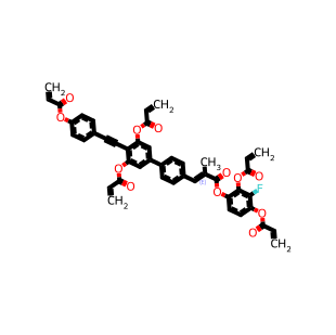 C=CC(=O)Oc1ccc(C#Cc2c(OC(=O)C=C)cc(-c3ccc(/C=C(\C)C(=O)Oc4ccc(OC(=O)C=C)c(F)c4OC(=O)C=C)cc3)cc2OC(=O)C=C)cc1